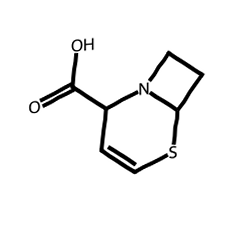 O=C(O)C1C=CSC2CCN21